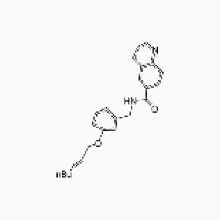 CCCCC=CCOc1cccc(CNC(=O)c2ccc3ncccc3c2)c1